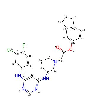 O=C(CN1CCCC(Nc2cc(Nc3ccc(F)c(Cl)c3)ncn2)C1)Oc1ccc2c(c1)CCC2